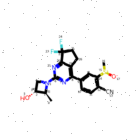 C[C@H]1[C@H](O)CN1c1nc(-c2ccc(C#N)c([S+](C)[O-])c2)c2c(n1)C(F)(F)CC2